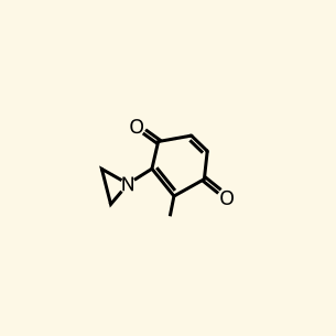 CC1=C(N2CC2)C(=O)C=CC1=O